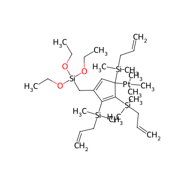 C=CC[Si](C)(C)C1=C([Si](C)(C)CC=C)[C]([Si](C)(C)CC=C)([Pt]([CH3])([CH3])[CH3])C=C1C[Si](OCC)(OCC)OCC